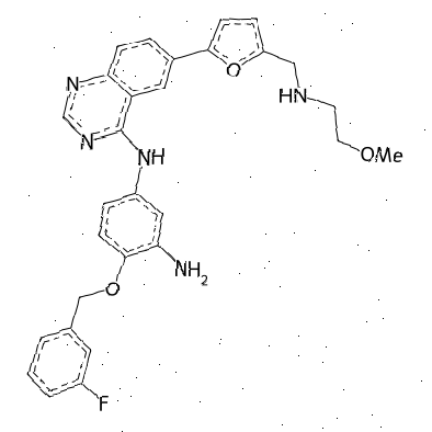 COCCNCc1ccc(-c2ccc3ncnc(Nc4ccc(OCc5cccc(F)c5)c(N)c4)c3c2)o1